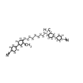 Cc1cc(-c2ccc(C#N)cc2)ccc1CCCCCCCCCc1ccc(-c2ccc(C#N)cc2)cc1C